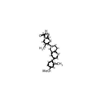 COc1ccc(-c2cnc3c(c2)CN(c2nc4n[nH]c(=O)n4cc2C)CC3)c(C)c1